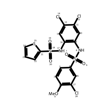 COc1ccc(S(=O)(=O)Nc2cc(Cl)c(Cl)cc2NS(=O)(=O)c2cccs2)cc1Cl